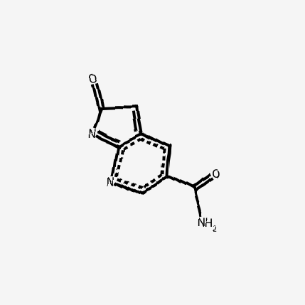 NC(=O)c1cnc2c(c1)=CC(=O)N=2